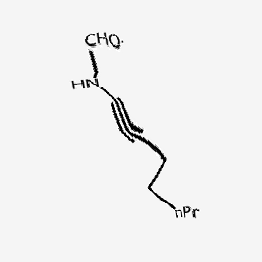 CCCCCC#CN[C]=O